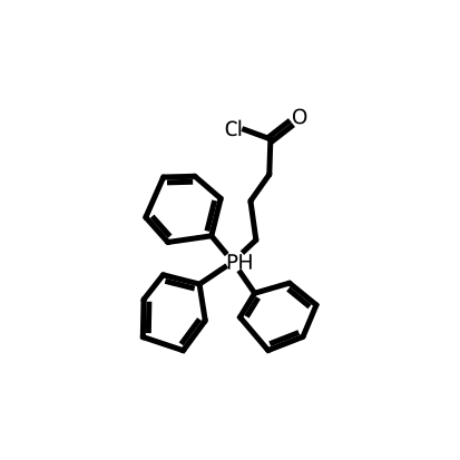 O=C(Cl)CCC[PH](c1ccccc1)(c1ccccc1)c1ccccc1